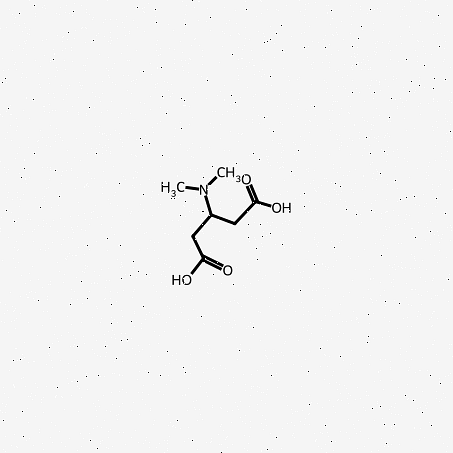 CN(C)C(CC(=O)O)CC(=O)O